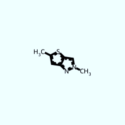 Cc1cc2nn(C)cc2s1